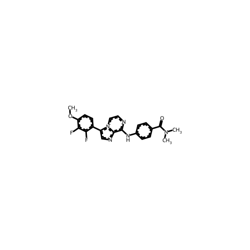 COc1ccc(-c2cnc3c(Nc4ccc(C(=O)N(C)C)cc4)nccn23)c(F)c1F